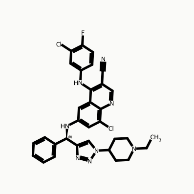 CCN1CCC(n2cc([C@H](Nc3cc(Cl)c4ncc(C#N)c(Nc5ccc(F)c(Cl)c5)c4c3)c3ccccc3)nn2)CC1